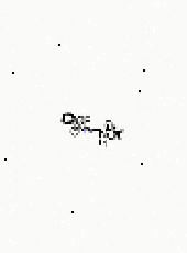 CC(C)(C)OC(=O)NC/C=C(\F)CS(=O)(=O)c1ccccc1